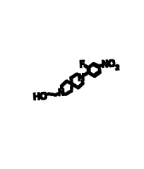 O=[N+]([O-])c1ccc(N2CCC3(CCN(CCO)CC3)CC2)c(F)c1